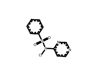 O=S(=O)(c1ccccc1)N(Cl)c1ccncn1